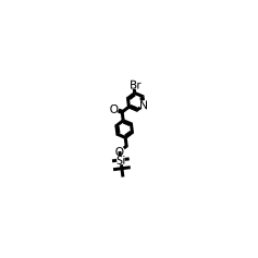 CC(C)(C)[Si](C)(C)OCc1ccc(C(=O)c2cncc(Br)c2)cc1